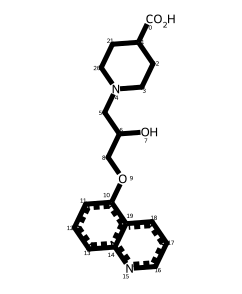 O=C(O)C1CCN(CC(O)COc2cccc3ncccc23)CC1